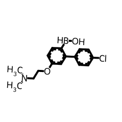 CN(C)CCOc1ccc(BO)c(-c2ccc(Cl)cc2)c1